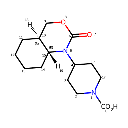 O=C(O)N1CCC(N2C(=O)OC[C@@H]3CCCC[C@H]32)CC1